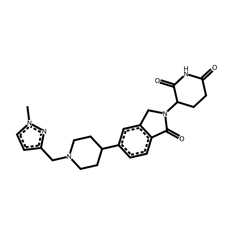 Cn1ccc(CN2CCC(c3ccc4c(c3)CN(C3CCC(=O)NC3=O)C4=O)CC2)n1